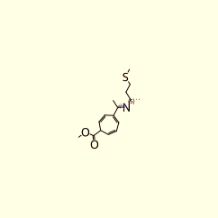 COC(=O)C1C=CC=C(/C(C)=N/[C@@H](C)CCSC)C=C1